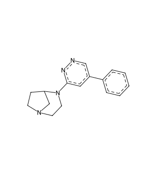 c1ccc(-c2cnnc(N3CCN4CCC3C4)c2)cc1